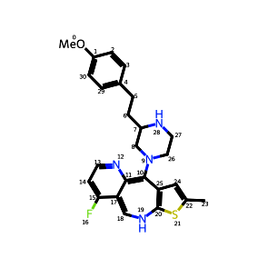 COc1ccc(CCC2CN(C3=c4nccc(F)c4=CNc4sc(C)cc43)CCN2)cc1